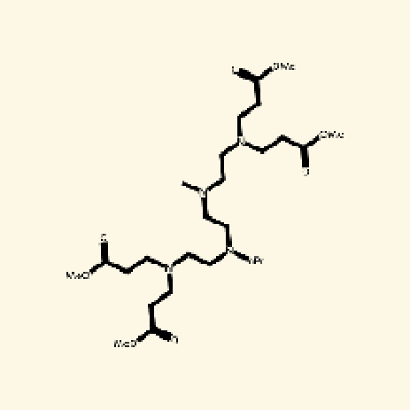 CCCN(CCN(C)CCN(CCC(=O)OC)CCC(=O)OC)CCN(CCC(=O)OC)CCC(=O)OC